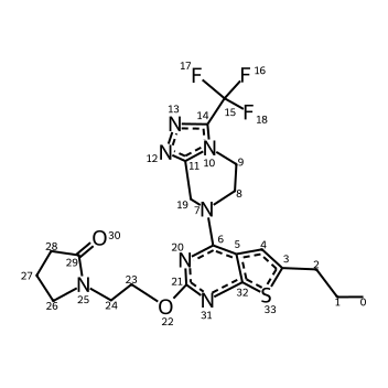 CCCc1cc2c(N3CCn4c(nnc4C(F)(F)F)C3)nc(OCCN3CCCC3=O)nc2s1